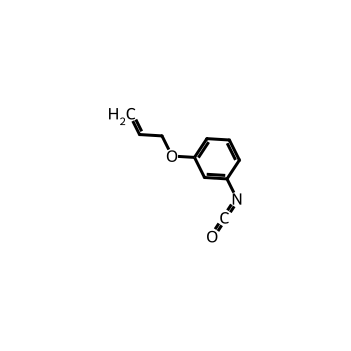 C=CCOc1cccc(N=C=O)c1